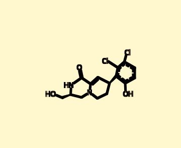 O=C1N[C@H](CO)CN2CC[C@H](c3c(O)ccc(Cl)c3Cl)C=C12